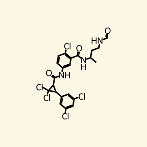 CC(CCNC=O)NC(=O)c1cc(NC(=O)C2C(c3cc(Cl)cc(Cl)c3)C2(Cl)Cl)ccc1Cl